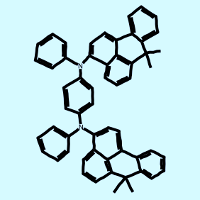 CC1(C)c2ccccc2-c2ccc(N(c3ccccc3)c3ccc(N(c4ccccc4)c4ccc5c6c(cccc46)C(C)(C)c4ccccc4-5)cc3)c3cccc1c23